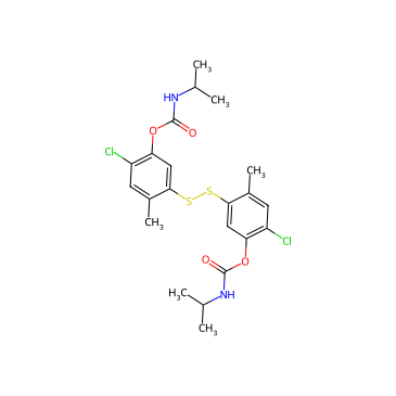 Cc1cc(Cl)c(OC(=O)NC(C)C)cc1SSc1cc(OC(=O)NC(C)C)c(Cl)cc1C